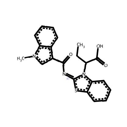 CCC(C(=O)O)n1/c(=N\C(=O)c2cn(C)c3ccccc23)sc2ccccc21